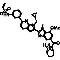 C=CS(=O)(=O)Nc1cccc(-c2ccc3cc(-c4nc5cc(C(=O)N6CC7CCC6C7N)cc(OC)c5n4C)n(CC4CC4)c3n2)c1